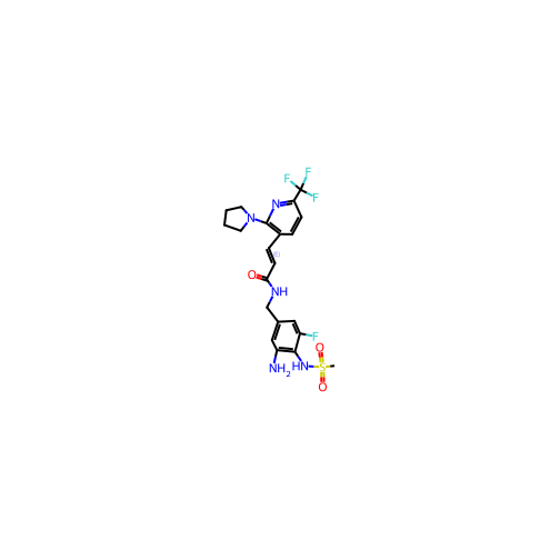 CS(=O)(=O)Nc1c(N)cc(CNC(=O)/C=C/c2ccc(C(F)(F)F)nc2N2CCCC2)cc1F